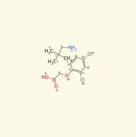 CC(C)(C)CN.O=C(O)COc1ccc(Cl)cc1Cl